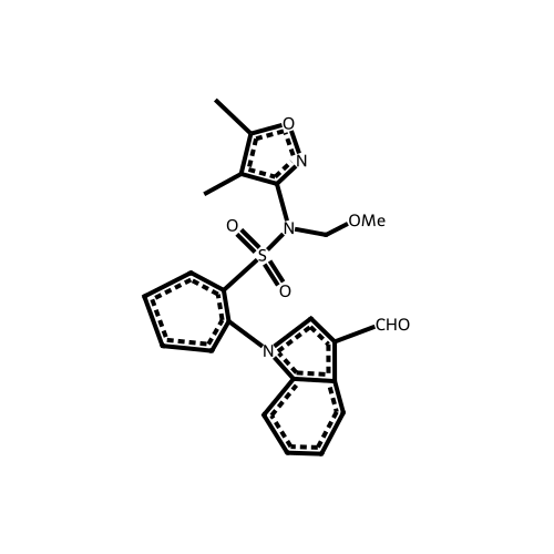 COCN(c1noc(C)c1C)S(=O)(=O)c1ccccc1-n1cc(C=O)c2ccccc21